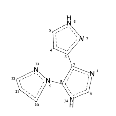 [c]1nc(-c2cc[nH]n2)c(-n2cccn2)[nH]1